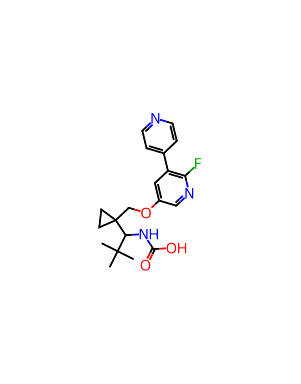 CC(C)(C)C(NC(=O)O)C1(COc2cnc(F)c(-c3ccncc3)c2)CC1